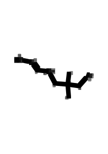 CC(=O)CC(C)(C)CNC=NO